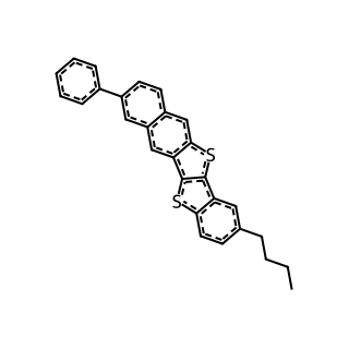 CCCCc1ccc2sc3c4cc5cc(-c6ccccc6)ccc5cc4sc3c2c1